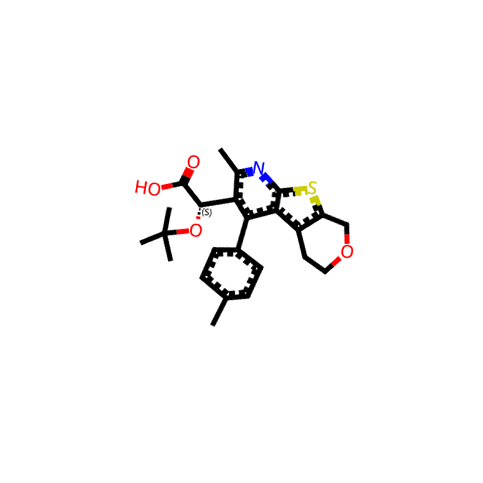 Cc1ccc(-c2c([C@H](OC(C)(C)C)C(=O)O)c(C)nc3sc4c(c23)CCOC4)cc1